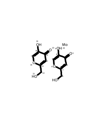 O=c1cc(CO)occ1O.O=c1cc(CO)occ1O.[Mo]